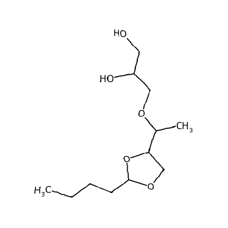 CCCCC1OCC(C(C)OCC(O)CO)O1